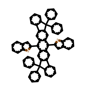 c1ccc(C2(c3ccccc3)c3ccccc3-c3cc4c(-c5cc6ccccc6s5)c5cc6c(cc5c(-c5cc7ccccc7s5)c4cc32)-c2ccccc2C6(c2ccccc2)c2ccccc2)cc1